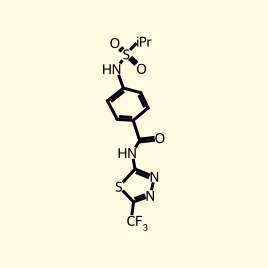 CC(C)S(=O)(=O)Nc1ccc(C(=O)Nc2nnc(C(F)(F)F)s2)cc1